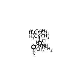 CONc1nc(-c2cccc(C#N)c2C)nc(C#C[Si](C(C)C)(C(C)C)C(C)C)c1Cl